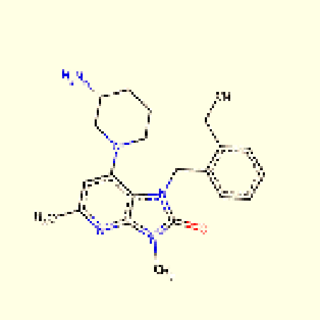 Cc1cc(N2CCC[C@@H](N)C2)c2c(n1)n(C)c(=O)n2Cc1ccccc1CC#N